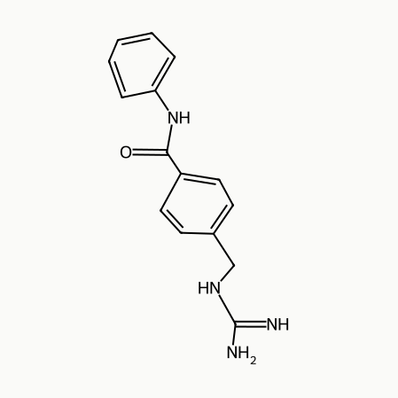 N=C(N)NCc1ccc(C(=O)Nc2ccccc2)cc1